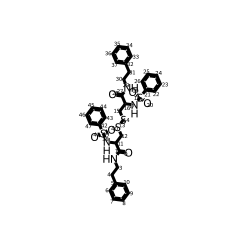 O=C(NCCc1ccccc1)C(CSSCC(NS(=O)(=O)c1ccccc1)C(=O)NCCc1ccccc1)NS(=O)(=O)c1ccccc1